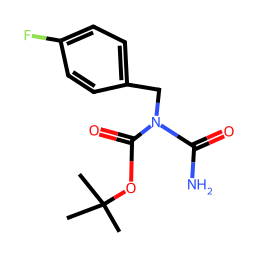 CC(C)(C)OC(=O)N(Cc1ccc(F)cc1)C(N)=O